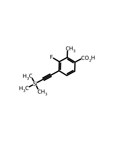 Cc1c(C(=O)O)ccc(C#C[Si](C)(C)C)c1F